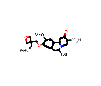 COCC1(COc2cc3c(cc2OC)-c2cc(=O)c(C(=O)O)cn2C(C(C)(C)C)C3)COC1